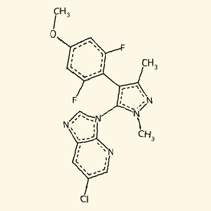 COc1cc(F)c(-c2c(C)nn(C)c2-n2cnc3cc(Cl)cnc32)c(F)c1